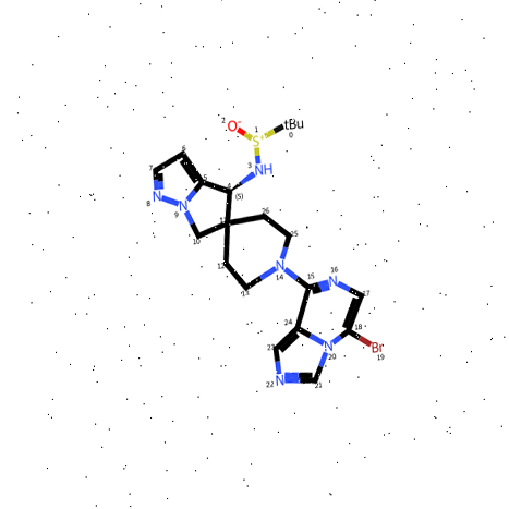 CC(C)(C)[S+]([O-])N[C@@H]1c2ccnn2CC12CCN(c1ncc(Br)n3cncc13)CC2